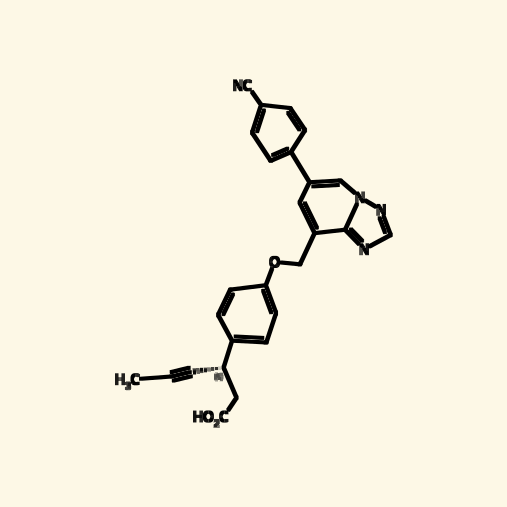 CC#C[C@@H](CC(=O)O)c1ccc(OCc2cc(-c3ccc(C#N)cc3)cn3ncnc23)cc1